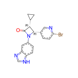 O=C1[C@H](C2CC2)[C@H](c2ccc(Br)nc2)N1c1ccc2[nH]cnc2c1